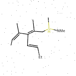 C/C=C(C)\C(C=CCC)=C(/C)C[SH](C)NC